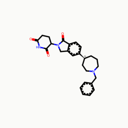 O=C1CCC(N2Cc3cc([C@H]4CCCN(Cc5ccccc5)CC4)ccc3C2=O)C(=O)N1